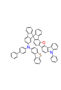 c1ccc(-c2ccc(N(c3ccc4c(c3)C3(c5ccccc5-4)c4ccccc4-c4c3ccc3c4oc4c3ccc3c4c4ccccc4n3-c3ccccc3)c3ccc4sc5ccccc5c4c3)cc2)cc1